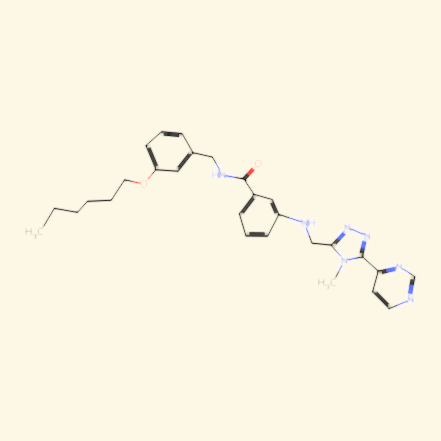 CCCCCCOc1cccc(CNC(=O)c2cccc(NCc3nnc(-c4ccncn4)n3C)c2)c1